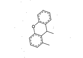 Cc1cccc2c1C(C)c1ccccc1O2